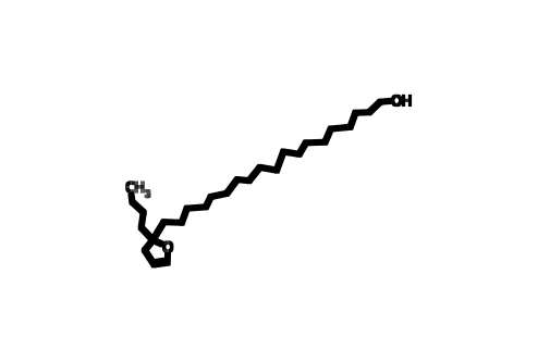 CCCCC1(CCCCCCCCCCCCCCCCCCCO)CC=CO1